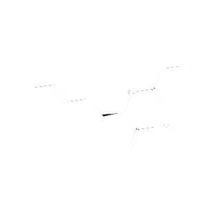 CCCC=CSC[C@@H](NC(=O)OC(C)(C)C)C(=O)OC